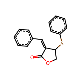 O=C1OCC(Sc2ccccc2)C1=Cc1ccccc1